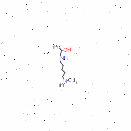 CC(C)C(O)CNCCCCCN(C)C(C)C